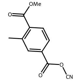 COC(=O)c1ccc(C(=O)OC#N)cc1C